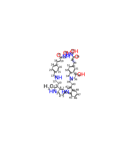 Cc1[nH]c2ccccc2c1CCNCc1ccc(C=CC(=O)NO)cc1.O=C(/C=C/c1ccc(CN(CCO)CCc2c[nH]c3ccccc23)cc1)NO